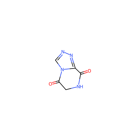 O=C1NCC(=O)n2cnnc21